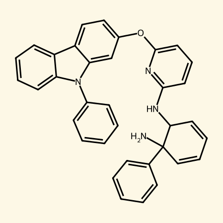 NC1(c2ccccc2)C=CC=CC1Nc1cccc(Oc2ccc3c4ccccc4n(-c4ccccc4)c3c2)n1